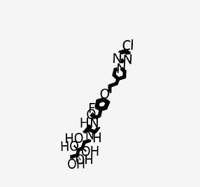 O=C(Cc1ccc(OCCCC2CCN(c3ncc(Cl)cn3)CC2)cc1F)N1C[C@@H]2C[C@H]1CN2C[C@H](O)[C@@H](O)[C@H](O)[C@H](O)CO